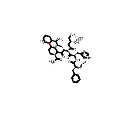 CC[C@H](O)CC(=O)N(C(=O)[C@H](Cc1c[nH]cn1)NC(=O)[C@H](Cc1ccccc1)N=C=O)[C@@H](C[C@H](N)C(N)C1CCCCC1)C(=O)C1CC(CN)CCN1C(N)=O.Cl.Cl